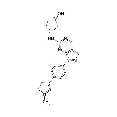 Cn1cc(-c2ccc(-n3nnc4cnc(N[C@@H]5CC[C@@H](O)C5)nc43)cc2)cn1